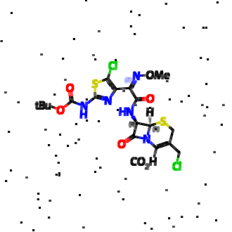 CO/N=C(\C(=O)N[C@@H]1C(=O)N2C(C(=O)O)=C(CCl)CS[C@H]12)c1nc(NC(=O)OC(C)(C)C)sc1Cl